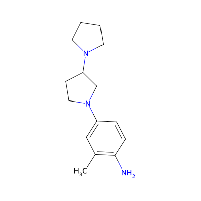 Cc1cc(N2CCC(N3CCCC3)C2)ccc1N